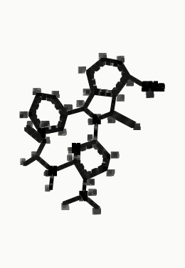 C=CC(C)N(C)c1nc(N2C(=C)c3c(SC)cccc3C2c2cccnc2)ccc1N(C)C